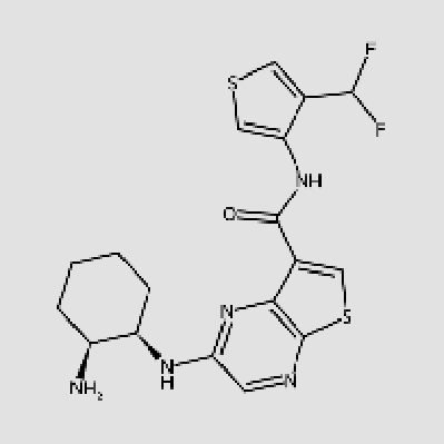 N[C@H]1CCCC[C@H]1Nc1cnc2scc(C(=O)Nc3cscc3C(F)F)c2n1